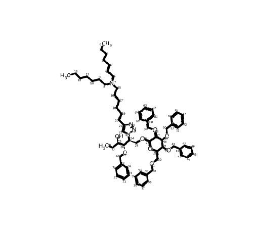 CCCCCCCN(CCCCCCC)CCCCCCc1cn([C@@H](COC2OC(COCc3ccccc3)C(OCc3ccccc3)C(OCc3ccccc3)C2OCc2ccccc2)[C@H](OCc2ccccc2)[C@H](O)CC)nn1